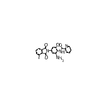 Cc1cccc2c1C(=O)N(c1cc(N)c(NC(=O)c3ccccn3)c(Cl)c1)C2=O